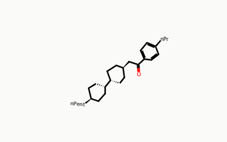 CCCCC[C@H]1CC[C@H]([C@H]2CC[C@H](CC(=O)c3ccc(CCC)cc3)CC2)CC1